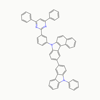 c1ccc(-c2cc(-c3ccccc3)nc(-c3cccc(-n4c5ccc(-c6ccc7c(c6)c6ccccc6n7-c6ccccc6)cc5c5c6ccccc6ccc54)c3)n2)cc1